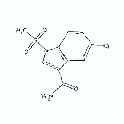 CS(=O)(=O)n1cc(C(N)=O)c2cc(Cl)ccc21